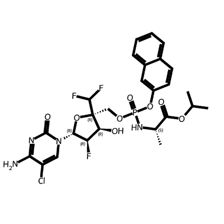 CC(C)OC(=O)[C@H](C)NP(=O)(OC[C@@]1(C(F)F)O[C@@H](n2cc(Cl)c(N)nc2=O)[C@H](F)[C@@H]1O)Oc1ccc2ccccc2c1